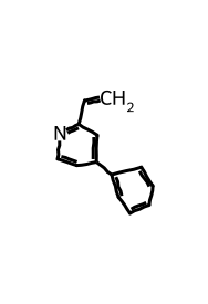 C=Cc1cc(-c2ccccc2)ccn1